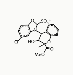 COC(=O)C1(C)Oc2ccccc2C(N2c3cc(Cl)ccc3OC2S(=O)(=O)O)C1O